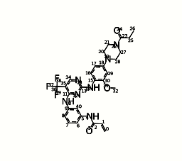 C=CC(=O)Nc1cccc(Nc2nc(Nc3ccc(N4CCN(C(=O)CC)CC4)cc3OC)ncc2C(F)(F)F)c1